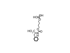 O=C(NC(Cc1ccccc1)C(=O)O)OCCCCON(O)O